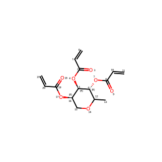 C=CC(=O)O[C@H]1[C@H](OC(=O)C=C)C(C)OC[C@H]1OC(=O)C=C